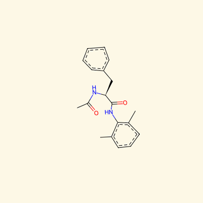 CC(=O)N[C@@H](Cc1ccccc1)C(=O)Nc1c(C)cccc1C